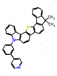 CC1(C)c2ccccc2-c2c1ccc1c2sc2c1ccc1c2c2ccccc2n1-c1cccc(-c2ccncc2)c1